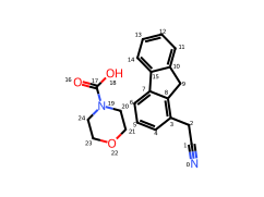 N#CCc1cccc2c1Cc1ccccc1-2.O=C(O)N1CCOCC1